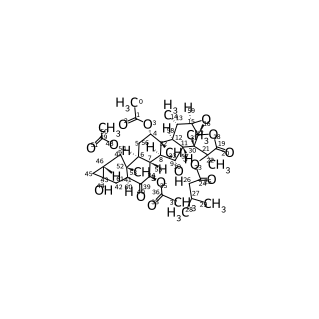 CC(=O)O[C@H]1C[C@H]2[C@H]([C@@H]3[C@@H](O)[C@@H]4[C@H]([C@H](C)[C@H]5O[C@]56OC(=O)[C@@](C)(OC(=O)CC(C)C)[C@]46C)[C@]31C)[C@@H](OC(C)=O)C(=O)[C@H]1C[C@@]3(O)C[C@@H]3[C@H](OC(C)=O)[C@@]12C